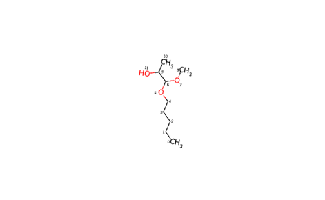 CCCCCOC(OC)C(C)O